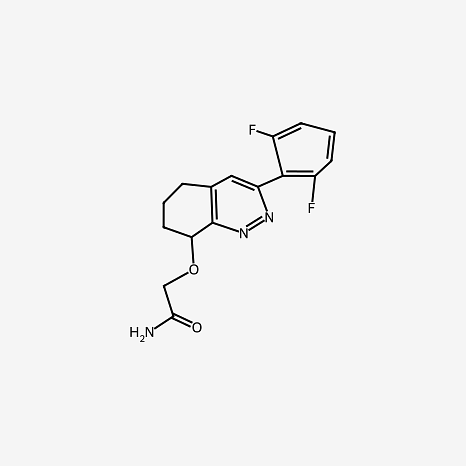 NC(=O)COC1CCCc2cc(-c3c(F)cccc3F)nnc21